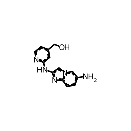 Nc1ccc2nc(Nc3cc(CO)ccn3)cn2c1